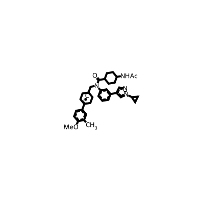 COc1ccc(C23CCC(CN(C(=O)C4CCC(NC(C)=O)CC4)c4cccc(-c5cnn(C6CC6)c5)c4)(CC2)CC3)cc1C